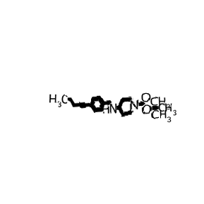 CCCC#Cc1ccc(CNC2CCN(C(=O)OC(C)(C)C)CC2)cc1